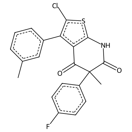 Cc1cccc(-c2c(Cl)sc3c2C(=O)C(C)(c2ccc(F)cc2)C(=O)N3)c1